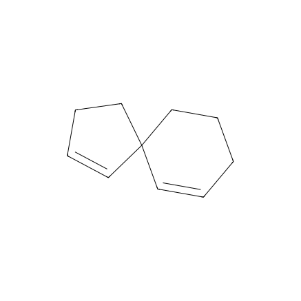 C1=CC2(C=CCC2)CCC1